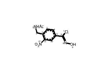 CC(=O)NCc1ccc(C(Cl)=NO)cc1[N+](=O)[O-]